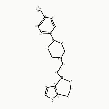 FC(F)(F)c1ccc(C2CCN(CCC3CCCc4sccc43)CC2)cc1